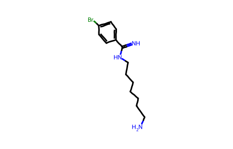 N=C(NCCCCCCCN)c1ccc(Br)cc1